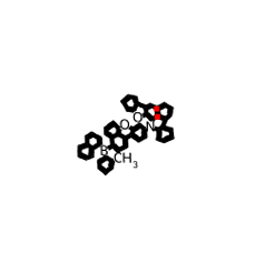 Cc1ccccc1B(c1cccc2ccccc12)c1ccc2c3c(cccc13)Oc1cc(N(c3ccccc3-c3ccccc3)c3cccc4c3oc3ccccc34)ccc1-2